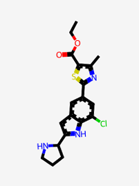 CCOC(=O)c1sc(-c2cc(Cl)c3[nH]c(C4CCCN4)cc3c2)nc1C